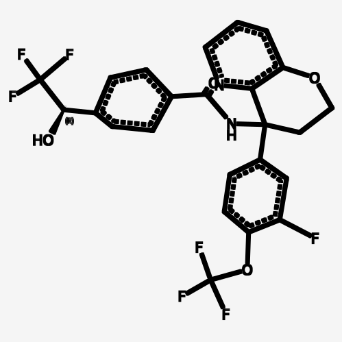 O=C(NC1(c2ccc(OC(F)(F)F)c(F)c2)CCOc2cccnc21)c1ccc([C@@H](O)C(F)(F)F)cc1